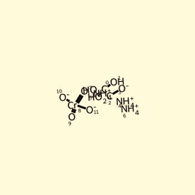 O=C(O)O.O=C([O-])O.[NH4+].[NH4+].[NH4+].[O]=[Cr](=[O])([O-])[O-]